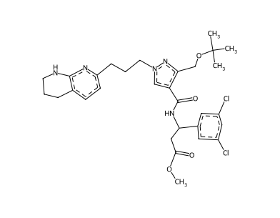 COC(=O)CC(NC(=O)c1cn(CCCc2ccc3c(n2)NCCC3)nc1COC(C)(C)C)c1cc(Cl)cc(Cl)c1